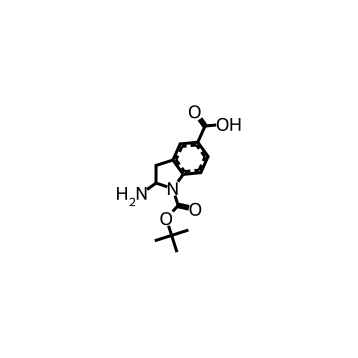 CC(C)(C)OC(=O)N1c2ccc(C(=O)O)cc2CC1N